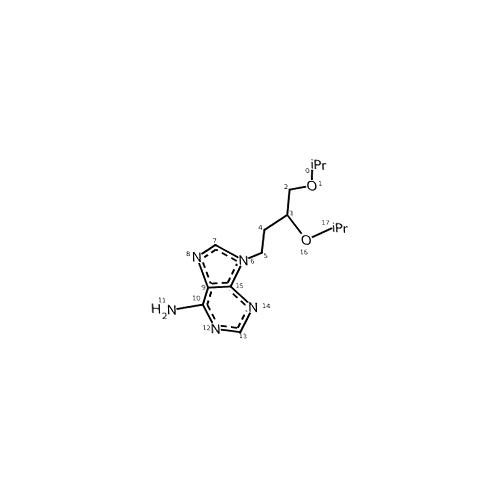 CC(C)OCC(CCn1cnc2c(N)ncnc21)OC(C)C